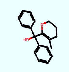 CC1=C(C(O)(c2ccccc2)c2ccccc2)OCCC1